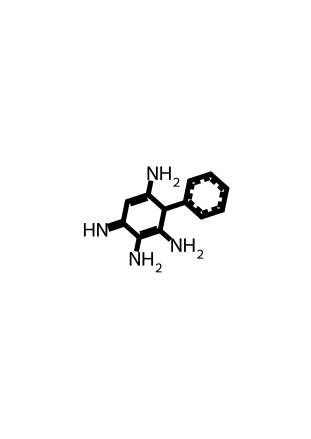 N=C1C=C(N)C(c2ccccc2)C(N)=C1N